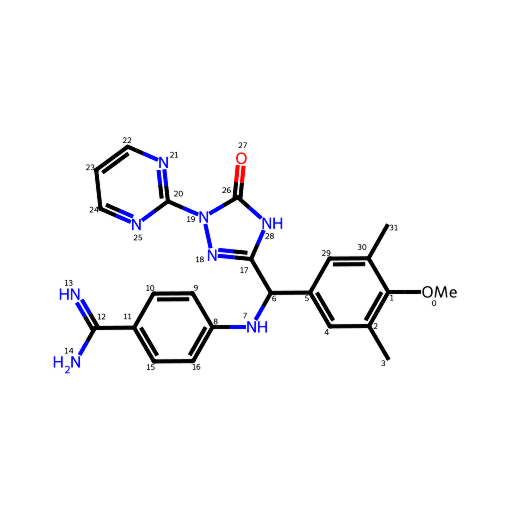 COc1c(C)cc(C(Nc2ccc(C(=N)N)cc2)c2nn(-c3ncccn3)c(=O)[nH]2)cc1C